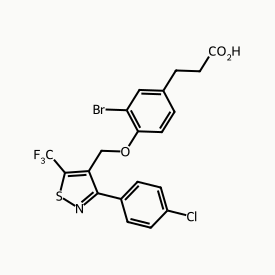 O=C(O)CCc1ccc(OCc2c(-c3ccc(Cl)cc3)nsc2C(F)(F)F)c(Br)c1